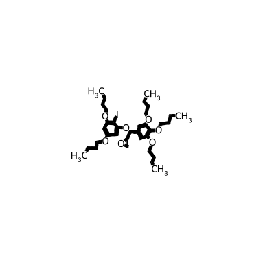 CCCCOc1cc(OCCCC)c(I)c(O[C@@H](c2cc(OCCCC)c(OCCCC)c(OCCCC)c2)[C@H]2CO2)c1